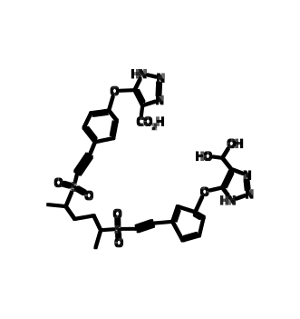 CC(CCC(C)S(=O)(=O)C#Cc1cccc(Oc2[nH]nnc2C(O)O)c1)S(=O)(=O)C#Cc1ccc(Oc2[nH]nnc2C(=O)O)cc1